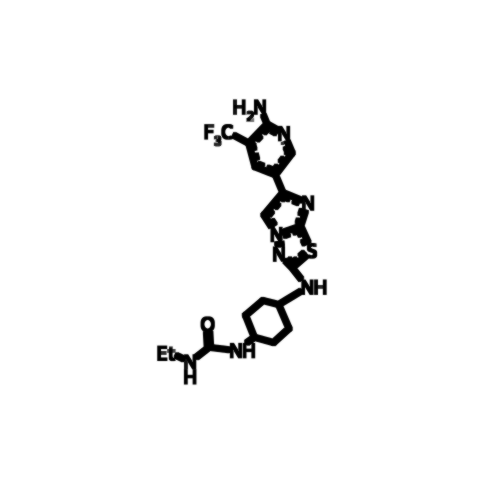 CCNC(=O)NC1CCC(Nc2nn3cc(-c4cnc(N)c(C(F)(F)F)c4)nc3s2)CC1